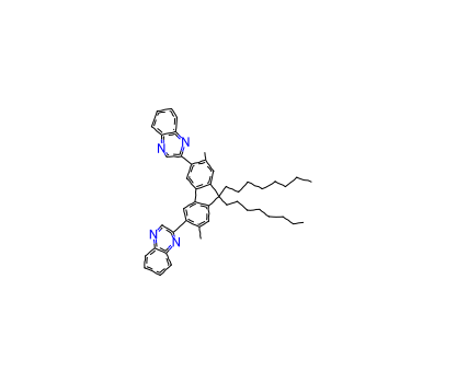 CCCCCCCCC1(CCCCCCCC)c2cc(C)c(-c3cnc4ccccc4n3)cc2-c2cc(-c3cnc4ccccc4n3)c(C)cc21